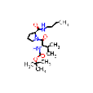 CCCCNC(=O)[C@@H]1CCCN1C(=O)[C@@H](NC(=O)OC(C)(C)C)C(C)C